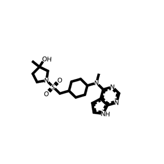 CN(c1ncnc2[nH]ccc12)C1CCC(CS(=O)(=O)N2CCC(C)(O)C2)CC1